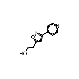 OCCc1cc(-c2ccncc2)no1